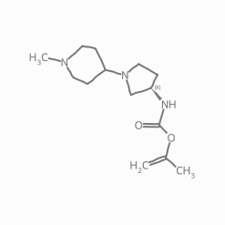 C=C(C)OC(=O)N[C@@H]1CCN(C2CCN(C)CC2)C1